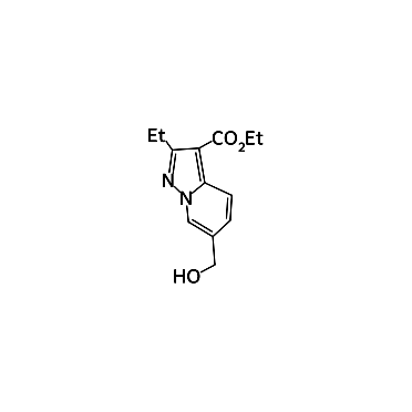 CCOC(=O)c1c(CC)nn2cc(CO)ccc12